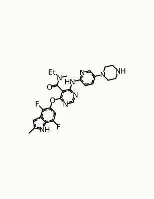 CCN(C)C(=O)c1c(Nc2ccc(N3CCNCC3)cn2)ncnc1Oc1cc(F)c2[nH]c(C)cc2c1F